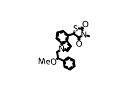 COC(Cn1ccc2c(C3SC(=O)N(C)C3=O)cccc21)c1ccccc1